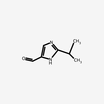 CC(C)c1ncc(C=O)[nH]1